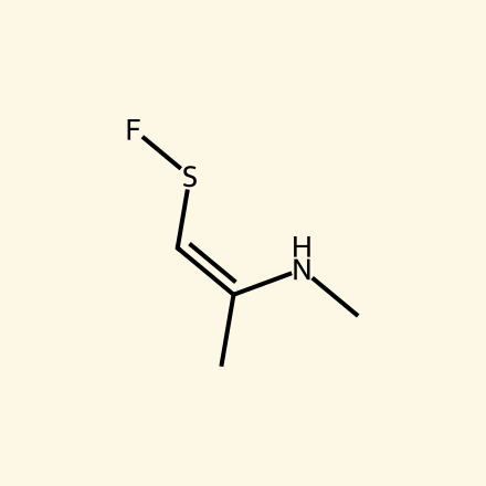 CN/C(C)=C\SF